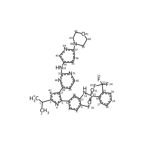 CC(C)c1nc(-c2ccc(F)c(NS(=O)(=O)c3ccccc3C(F)(F)F)c2)c(-c2ccnc(Nc3ccc(N4CCOCC4)nc3)n2)s1